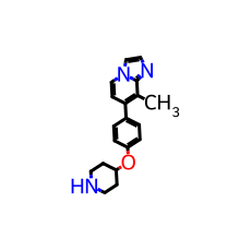 Cc1c(-c2ccc(OC3CCNCC3)cc2)ccn2ccnc12